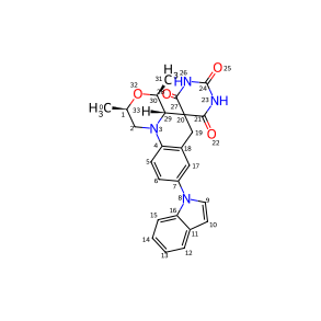 C[C@@H]1CN2c3ccc(-n4ccc5ccccc54)cc3CC3(C(=O)NC(=O)NC3=O)[C@H]2[C@H](C)O1